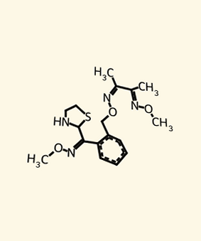 CON=C(C)C(C)=NOCc1ccccc1C(=NOC)C1NCCS1